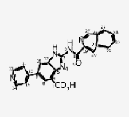 O=C(Nc1nc2c(C(=O)O)cc(-c3ccncc3)cc2[nH]1)c1cc2ccccc2cn1